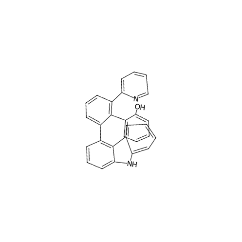 Oc1ccccc1-c1c(-c2ccccn2)cccc1-c1cccc2[nH]c3ccccc3c12